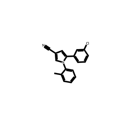 Cc1ccccc1-n1cc(C#N)cc1-c1cccc(Cl)c1